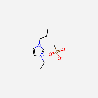 CCCn1cc[n+](CC)c1.CS(=O)(=O)[O-]